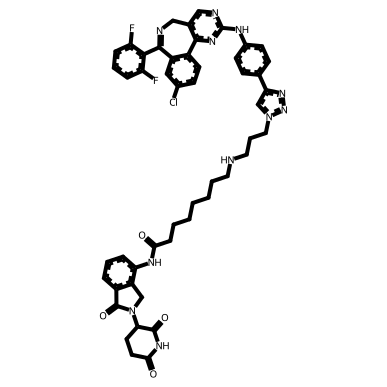 O=C1CCC(N2Cc3c(NC(=O)CCCCCCCNCCCn4cc(-c5ccc(Nc6ncc7c(n6)-c6ccc(Cl)cc6C(c6c(F)cccc6F)=NC7)cc5)nn4)cccc3C2=O)C(=O)N1